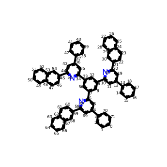 c1ccc(-c2cc(-c3cc(-c4cc(-c5ccccc5)cc(-c5ccc6ccccc6c5)n4)cc(-c4cc(-c5ccccc5)cc(-c5ccc6ccccc6c5)n4)c3)nc(-c3ccc4ccccc4c3)c2)cc1